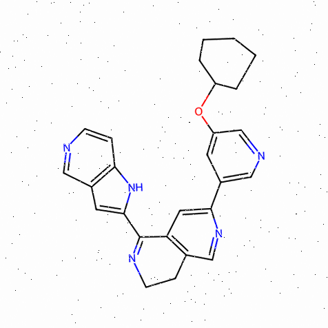 c1cc2[nH]c(C3=NCCc4cnc(-c5cncc(OC6CCCCC6)c5)cc43)cc2cn1